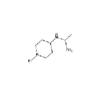 CCN1CCC(NC(C)P)CC1